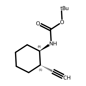 C#C[C@@H]1CCCC[C@H]1NC(=O)OC(C)(C)C